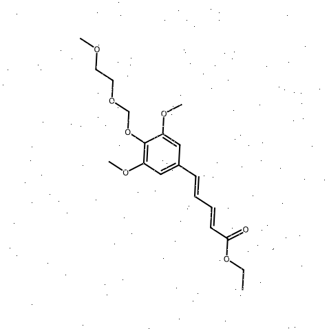 CCOC(=O)C=CC=Cc1cc(OC)c(OCOCCOC)c(OC)c1